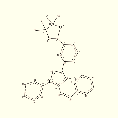 Cc1c(-c2cccc(B3OC(C)(C)C(C)(C)O3)c2)cn(-c2ccccc2)c1/C=C\c1ccccc1